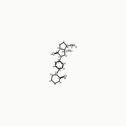 N[C@@H]1CCN2C(=O)N(c3ccc(N4CCCCC4=O)cc3)C[C@H]12